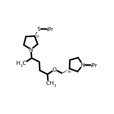 CC(CCC(C)N1CC[C@H](SC(C)C)C1)OC[C@@H]1CCN(C(C)C)C1